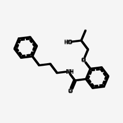 CC(O)COc1ccccc1C(=O)NCCCc1ccccc1